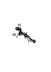 Nc1cc(N2CCNC3(CCCCC3)C2)nc(NCC2CCC(CNCCCNC3CCCCC3)CC2)n1